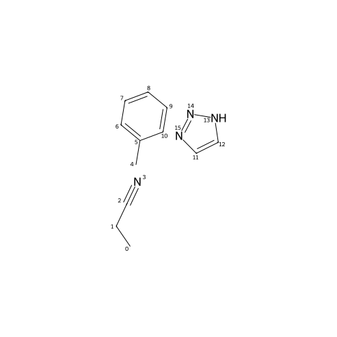 CCC#N.Cc1ccccc1.c1c[nH]nn1